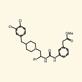 COC(=O)Cc1cccc(NC(=O)NC(CN2CCC(Cc3ccc(Cl)c(Cl)c3)CC2)C(C)C)c1